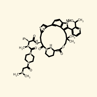 CCn1c(-c2cccnc2[C@H](C)OC)c2c3cc(ccc31)-c1csc(n1)C[C@H](NC(=O)[C@H](C(C)C)N(C)C(=O)N1CCN(C(=O)CN(C)C)CC1)C(=O)N1CCC[C@@](O)(N1)C(=O)OCC(C)(C)C2